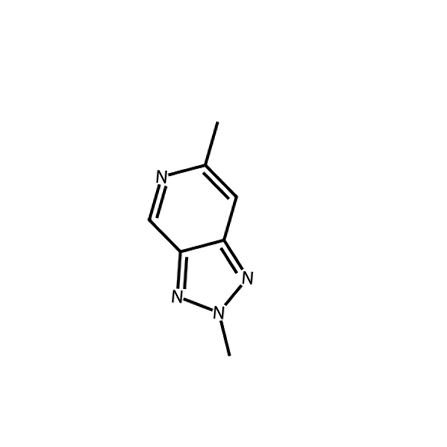 Cc1cc2nn(C)nc2cn1